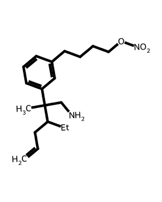 C=CCC(CC)C(C)(CN)c1cccc(CCCCO[N+](=O)[O-])c1